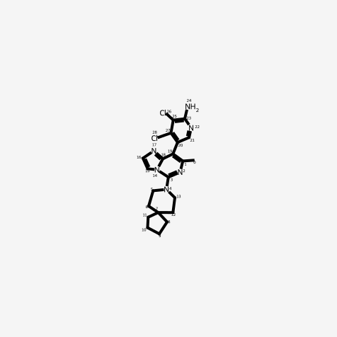 Cc1nc(N2CCC3(CCCC3)CC2)n2ccnc2c1-c1cnc(N)c(Cl)c1Cl